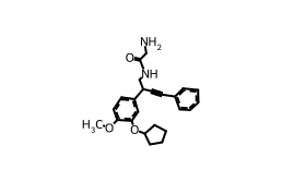 COc1ccc(C(C#Cc2ccccc2)CNC(=O)CN)cc1OC1CCCC1